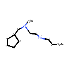 CCCCN(CCNCCSC)CC1CCCC1